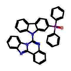 O=P(c1ccccc1)(c1ccccc1)c1ccc2c3ccccc3n(-c3nc4ccccc4c4nc5ccccc5n34)c2c1